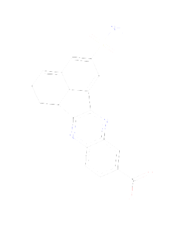 NS(=O)(=O)C1=CC2=CCCC3c4nc5ccc(C(=O)O)cc5nc4C(=C1)C23